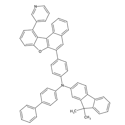 CC1(C)c2ccccc2-c2ccc(N(c3ccc(-c4ccccc4)cc3)c3ccc(-c4cc5ccccc5c5c4oc4cccc(-c6cccnc6)c45)cc3)cc21